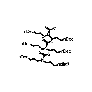 CCCCCCCCCCCCCN(CCCCCCCCCCCCC)C(=S)[S-].CCCCCCCCCCCCCN(CCCCCCCCCCCCC)C(=S)[S-].CCCCCCCCCCCCCN(CCCCCCCCCCCCC)C(=S)[S-].[Sb+3]